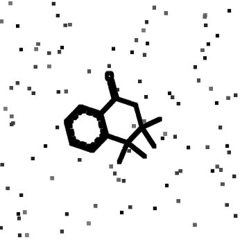 CC1(C)CC(=O)c2ccccc2C1(C)C